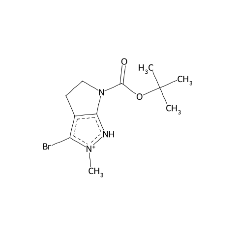 C[n+]1[nH]c2c(c1Br)CCN2C(=O)OC(C)(C)C